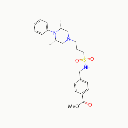 COC(=O)c1ccc(CNS(=O)(=O)CCCN2C[C@@H](C)N(c3ccccc3)[C@@H](C)C2)cc1